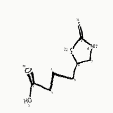 O=C(O)CCCC1CNC(=S)S1